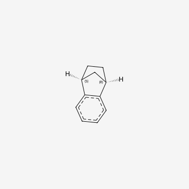 c1ccc2c(c1)[C@@H]1CC[C@H]2C1